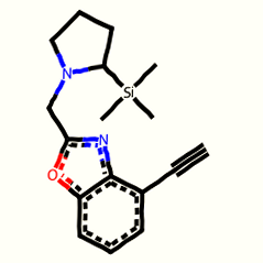 C#Cc1cccc2oc(CN3CCCC3[Si](C)(C)C)nc12